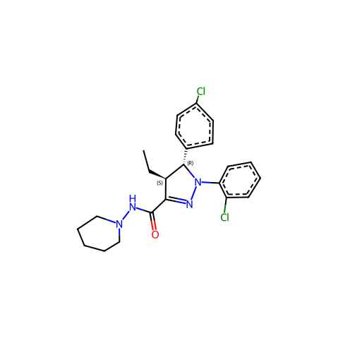 CC[C@@H]1C(C(=O)NN2CCCCC2)=NN(c2ccccc2Cl)[C@H]1c1ccc(Cl)cc1